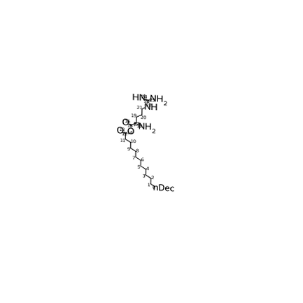 CCCCCCCCCCCCCCCCCCCCCC(=O)OC(=O)[C@@H](N)CCCNC(=N)N